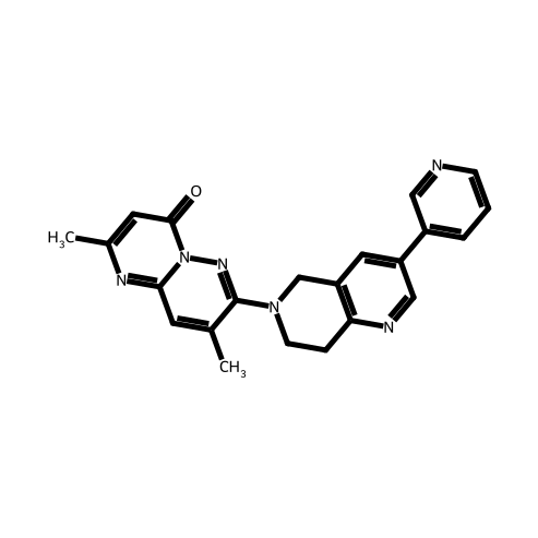 Cc1cc(=O)n2nc(N3CCc4ncc(-c5cccnc5)cc4C3)c(C)cc2n1